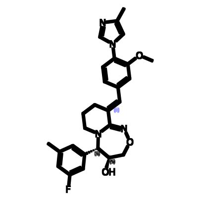 COc1cc(/C=C2\CCCN3C2=NOC[C@@H](O)[C@@H]3c2cc(C)cc(F)c2)ccc1-n1cnc(C)c1